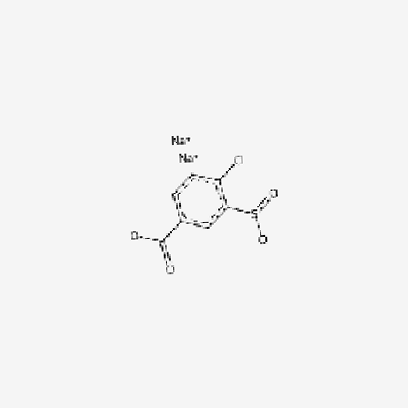 O=C([O-])c1ccc(Cl)c(S(=O)[O-])c1.[Na+].[Na+]